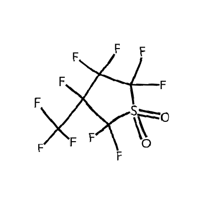 O=S1(=O)C(F)(F)C(F)(F)C(F)(C(F)(F)F)C1(F)F